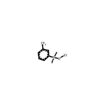 CCO[Si](C)(C)c1cccc(C(F)(F)F)c1